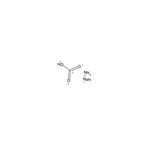 N.[NaH].[O]=[V](=[O])[OH]